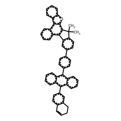 CC1(C)c2ccc(-c3ccc(-c4c5ccccc5c(-c5ccc6c(c5)CCC=C6)c5ccccc45)cc3)cc2-c2c1c1sc3ccccc3c1c1ccccc21